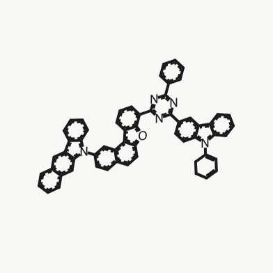 C1=CCCC(n2c3ccccc3c3cc(-c4nc(-c5ccccc5)nc(-c5cccc6c5oc5ccc7ccc(-n8c9ccccc9c9cc%10ccccc%10cc98)cc7c56)n4)ccc32)=C1